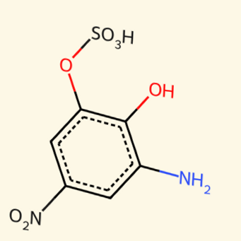 Nc1cc([N+](=O)[O-])cc(OS(=O)(=O)O)c1O